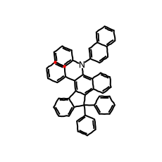 c1ccc(-c2c3c(c4ccccc4c2N(c2ccccc2)c2ccc4ccccc4c2)C(c2ccccc2)(c2ccccc2)c2ccccc2-3)cc1